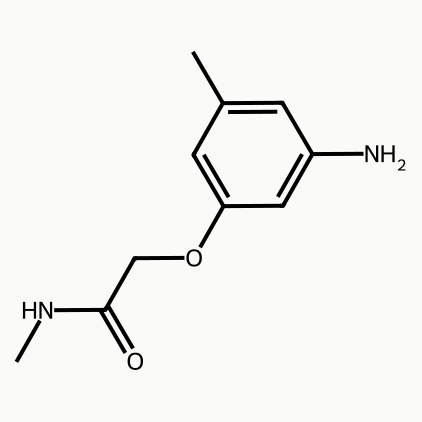 CNC(=O)COc1cc(C)cc(N)c1